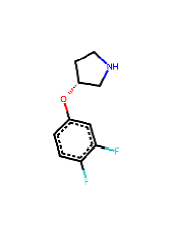 Fc1ccc(O[C@@H]2CCNC2)cc1F